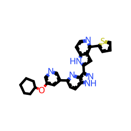 c1csc(-c2nccc3[nH]c(-c4n[nH]c5ccc(-c6cncc(OC7CCCCC7)c6)nc45)cc23)c1